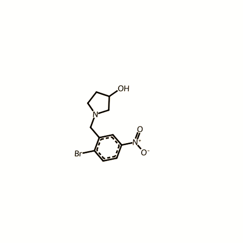 O=[N+]([O-])c1ccc(Br)c(CN2CCC(O)C2)c1